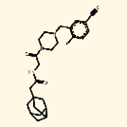 C#Cc1ccc(F)c(CN2CCN(C(=O)CNC(=O)CC34CC5CC(C3)C(C5)C4)CC2)c1